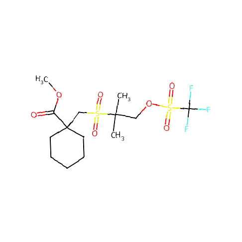 COC(=O)C1(CS(=O)(=O)C(C)(C)COS(=O)(=O)C(F)(F)F)CCCCC1